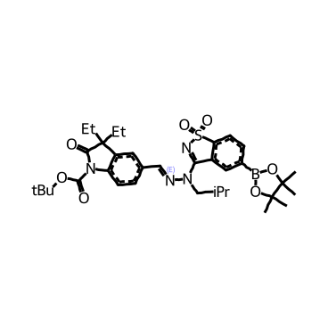 CCC1(CC)C(=O)N(C(=O)OC(C)(C)C)c2ccc(/C=N/N(CC(C)C)C3=NS(=O)(=O)c4ccc(B5OC(C)(C)C(C)(C)O5)cc43)cc21